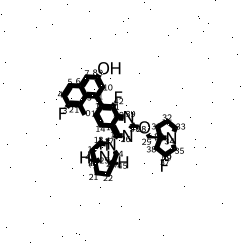 Cc1c(F)ccc2cc(O)cc(-c3ccc4c(N5CC[C@H]6CC[C@@H](C5)N6)nc(OC[C@@]56CCCN5C[C@H](F)C6)nc4c3F)c12